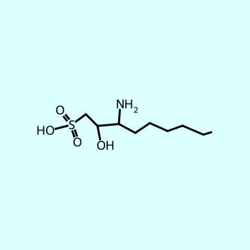 CCCCCCC(N)C(O)CS(=O)(=O)O